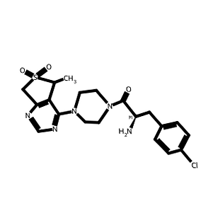 CC1c2c(ncnc2N2CCN(C(=O)[C@H](N)Cc3ccc(Cl)cc3)CC2)CS1(=O)=O